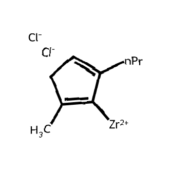 CCCC1=CCC(C)=[C]1[Zr+2].[Cl-].[Cl-]